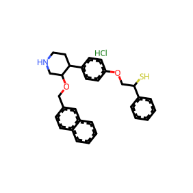 Cl.SC(COc1ccc(C2CCNCC2OCc2ccc3ccccc3c2)cc1)c1ccccc1